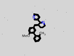 COc1ccc(C=C2CCCN=C2c2cccnc2)cc1-c1ccccc1C